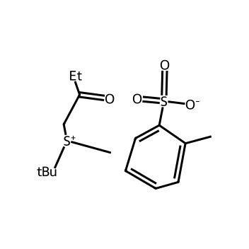 CCC(=O)C[S+](C)C(C)(C)C.Cc1ccccc1S(=O)(=O)[O-]